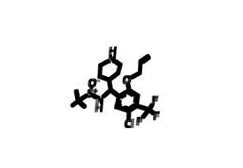 C=CCOc1cc(C(F)(F)F)c(Cl)cc1C(N[S@@+]([O-])C(C)(C)C)C1CCNCC1